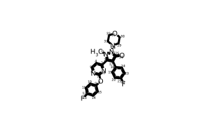 Cn1c(-c2ccnc(Oc3ccc(F)cc3)n2)c(-c2ccc(F)cc2)c(=O)n1N1CCOCC1